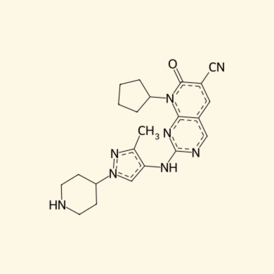 Cc1nn(C2CCNCC2)cc1Nc1ncc2cc(C#N)c(=O)n(C3CCCC3)c2n1